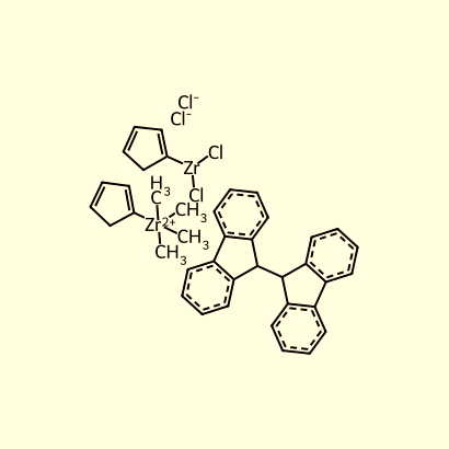 [CH3][Zr+2]([CH3])([CH3])([CH3])[C]1=CC=CC1.[Cl-].[Cl-].[Cl][Zr]([Cl])[C]1=CC=CC1.c1ccc2c(c1)-c1ccccc1C2C1c2ccccc2-c2ccccc21